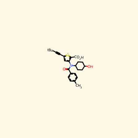 Cc1ccc(C(=O)N(c2cc(C#CC(C)(C)C)sc2C(=O)O)C2CCC(O)CC2)cc1